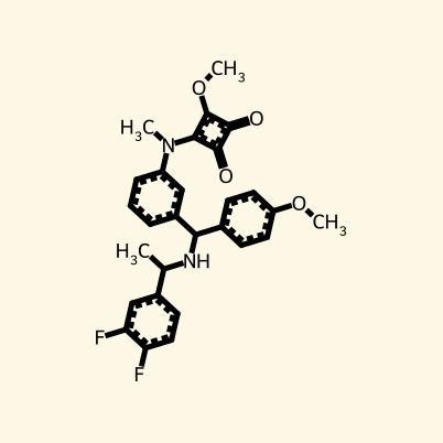 COc1ccc(C(NC(C)c2ccc(F)c(F)c2)c2cccc(N(C)c3c(OC)c(=O)c3=O)c2)cc1